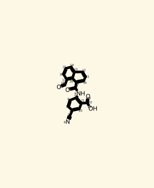 N#Cc1ccc(NC(=O)c2cccc3cccc(C=O)c23)c(C(=O)O)c1